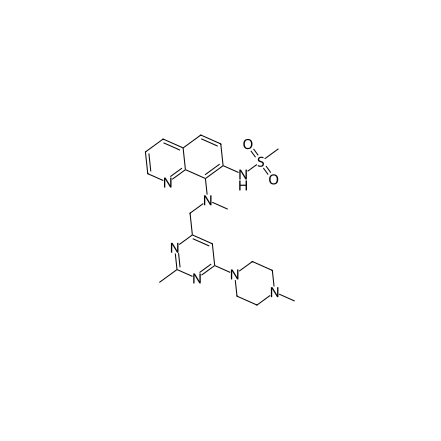 Cc1nc(CN(C)c2c(NS(C)(=O)=O)ccc3cccnc23)cc(N2CCN(C)CC2)n1